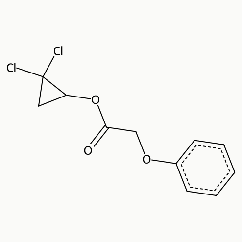 O=C(COc1ccccc1)OC1CC1(Cl)Cl